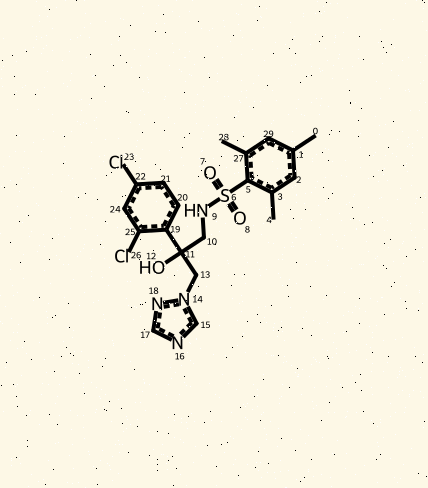 Cc1cc(C)c(S(=O)(=O)NCC(O)(Cn2cncn2)c2ccc(Cl)cc2Cl)c(C)c1